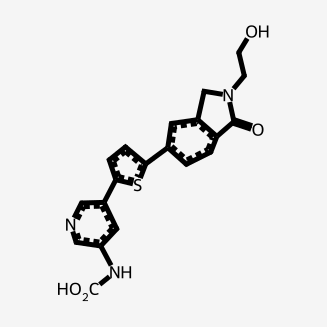 O=C(O)Nc1cncc(-c2ccc(-c3ccc4c(c3)CN(CCO)C4=O)s2)c1